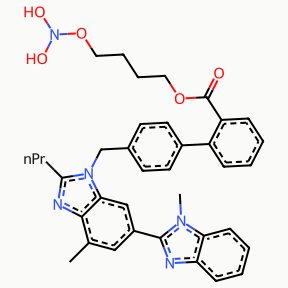 CCCc1nc2c(C)cc(-c3nc4ccccc4n3C)cc2n1Cc1ccc(-c2ccccc2C(=O)OCCCCON(O)O)cc1